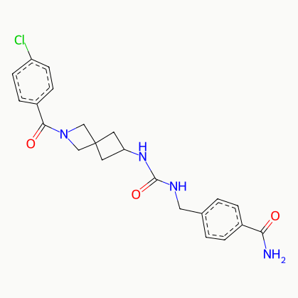 NC(=O)c1ccc(CNC(=O)NC2CC3(C2)CN(C(=O)c2ccc(Cl)cc2)C3)cc1